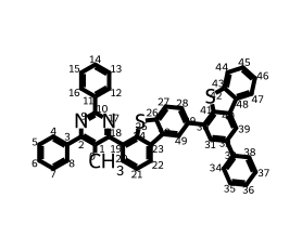 Cc1c(-c2ccccc2)nc(-c2ccccc2)nc1-c1cccc2c1sc1ccc(-c3cc(-c4ccccc4)cc4c3sc3ccccc34)cc12